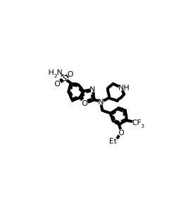 CCOc1cc(CN(c2nc3cc(S(N)(=O)=O)ccc3o2)C2CCNCC2)ccc1C(F)(F)F